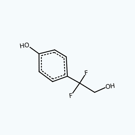 OCC(F)(F)c1ccc(O)cc1